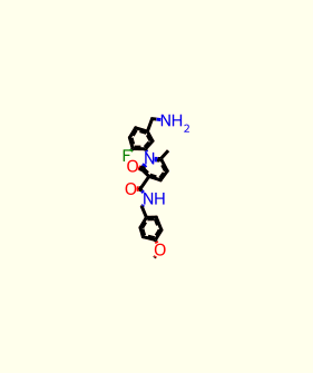 COc1ccc(CNC(=O)c2ccc(C)n(-c3cc(CN)ccc3F)c2=O)cc1